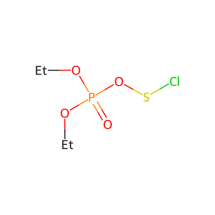 CCOP(=O)(OCC)OSCl